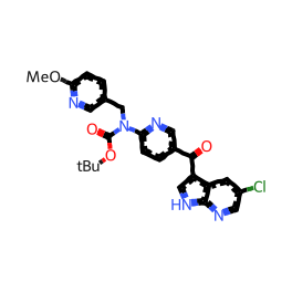 COc1ccc(CN(C(=O)OC(C)(C)C)c2ccc(C(=O)c3c[nH]c4ncc(Cl)cc34)cn2)cn1